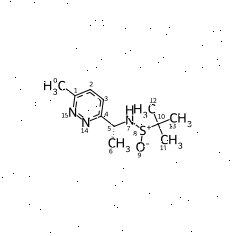 Cc1ccc([C@@H](C)N[S+]([O-])C(C)(C)C)nn1